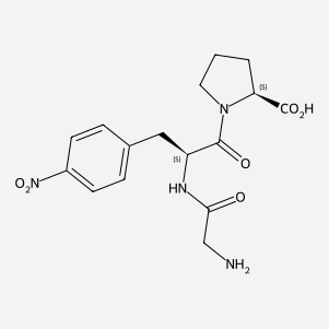 NCC(=O)N[C@@H](Cc1ccc([N+](=O)[O-])cc1)C(=O)N1CCC[C@H]1C(=O)O